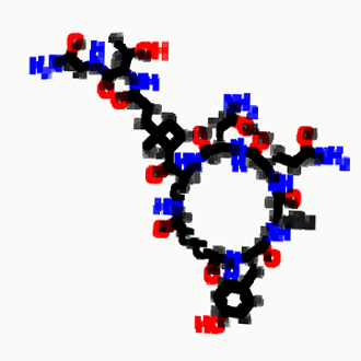 CC[C@H](C)[C@@H]1NC(=O)[C@H](Cc2ccc(O)cc2)NC(=O)CCC(=O)NC[C@@H](C(=O)C2CCC2(C)CCC(=O)N[C@H](C(=O)NCC(N)=O)[C@@H](C)O)NC(=O)[C@H](CC(N)=O)NC(=O)[C@H](CCC(N)=O)NC1=O